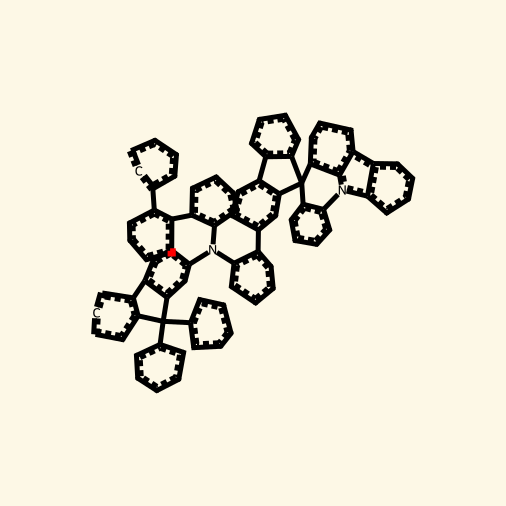 c1ccc(-c2ccccc2-c2ccccc2N(c2ccc3c(c2)C(c2ccccc2)(c2ccccc2)c2ccccc2-3)c2ccccc2-c2ccc3c(c2)C2(c4ccccc4-3)c3ccccc3-n3c4ccccc4c4cccc2c43)cc1